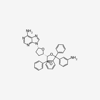 Nc1cccc(C(OC(C(=O)c2ccccc2)[C@@H]2CC[C@H](n3cnc4c(N)ncnc43)O2)(c2ccccc2)c2ccccc2)c1